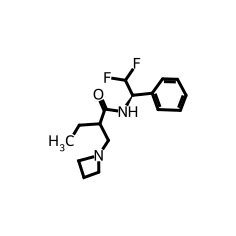 CCC(CN1CCC1)C(=O)N[C@H](c1ccccc1)C(F)F